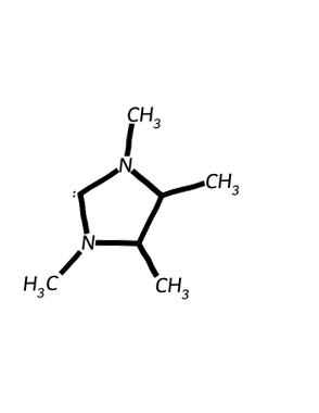 CC1C(C)N(C)[C]N1C